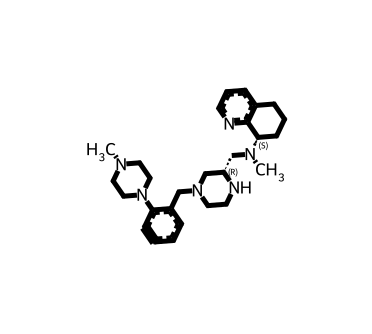 CN1CCN(c2c#cccc2CN2CCN[C@@H](CN(C)[C@H]3CCCc4cccnc43)C2)CC1